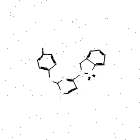 O=S1(=O)c2ccccc2CN1C1=NC(Oc2ccc(Cl)cc2)NC=C1